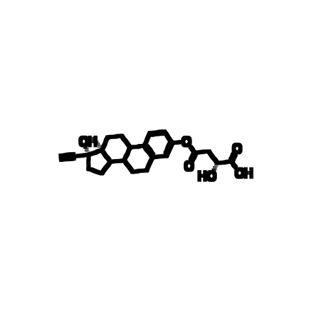 C#C[C@]1(O)CCC2C3CCc4cc(OC(=O)C[C@@H](O)C(=O)O)ccc4C3CC[C@@]21C